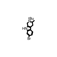 CC1Cc2c([nH]c3cc(Br)ccc23)CN1C(C)(C)C